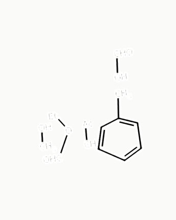 CC(C)=O.CCOC=O.CO.Cc1ccccc1.O=CO